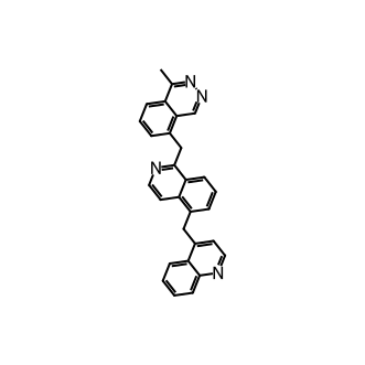 Cc1nncc2c(Cc3nccc4c(Cc5ccnc6ccccc56)cccc34)cccc12